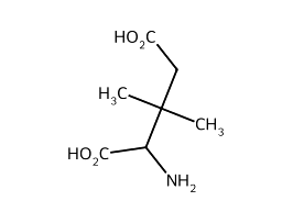 CC(C)(CC(=O)O)C(N)C(=O)O